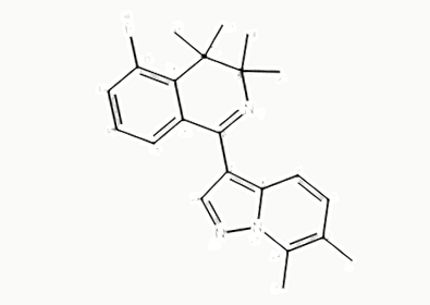 Cc1ccc2c(C3=NC(C)(C)C(C)(C)c4c(F)cccc43)cnn2c1C